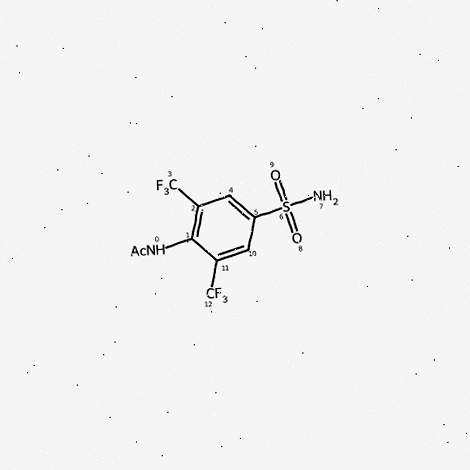 CC(=O)Nc1c(C(F)(F)F)cc(S(N)(=O)=O)cc1C(F)(F)F